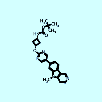 Cn1c2ccncc2c2ccc(-c3cnc(O[C@H]4C[C@H](NC(=O)OC(C)(C)C)C4)nc3)cc21